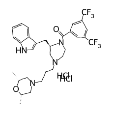 C[C@@H]1CN(CCCN2CCN(C(=O)c3cc(C(F)(F)F)cc(C(F)(F)F)c3)[C@H](Cc3c[nH]c4ccccc34)C2)C[C@H](C)O1.Cl.Cl